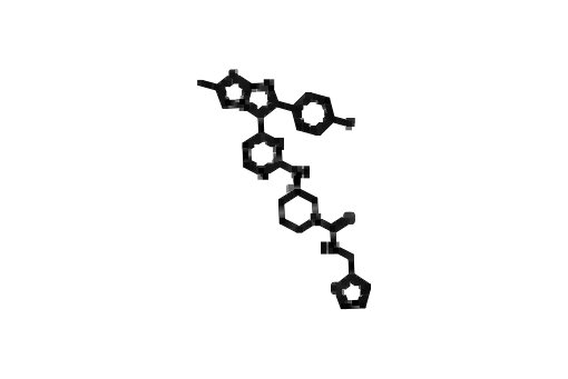 Cc1cn2c(-c3ccnc(N[C@@H]4CCCN(C(=O)NCc5ccco5)C4)n3)c(-c3ccc(F)cc3)nc2s1